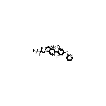 CO[n+]1cc(Oc2ccccn2)cc(F)c1-c1cc2ccn(CC(F)(F)C(F)(F)F)c2cn1